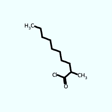 CCCCCCCCC(C)C(=O)Cl